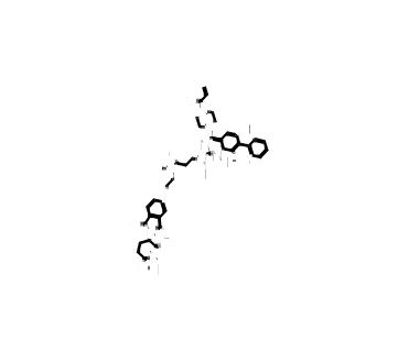 C=CC(=O)N1CCN(c2nc(NCCC(=O)N(C)CCOc3ccc4c(c3)C(=O)N(C3CCC(=O)NC3=O)C4=O)nc3c(F)c(-c4c(O)cccc4F)c(Cl)cc23)CC1